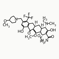 COC1=C2C(=O)c3c(O)cc(CN4CCC(OC)CC4)c(C(F)(F)F)c3C[C@H]2C[C@H]2[C@H](N(C)C)C(O)=C(C(N)=O)C[C@@]12OC